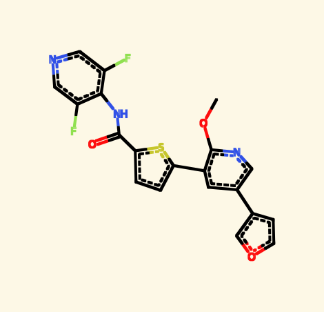 COc1ncc(-c2ccoc2)cc1-c1ccc(C(=O)Nc2c(F)cncc2F)s1